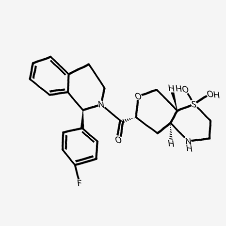 O=C([C@H]1C[C@@H]2NCCS(O)(O)[C@H]2CO1)N1CCc2ccccc2[C@@H]1c1ccc(F)cc1